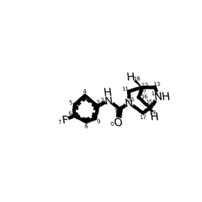 O=C(Nc1ccc(F)cc1)N1C[C@@H]2CN[C@@H](C2)C1